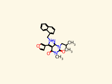 CC(C)Cn1c(=O)n(C)c(=O)c2c(-c3ccoc3)n(Cc3cccc4ccccc34)nc21